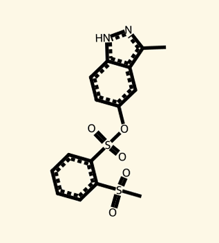 Cc1n[nH]c2ccc(OS(=O)(=O)c3ccccc3S(C)(=O)=O)cc12